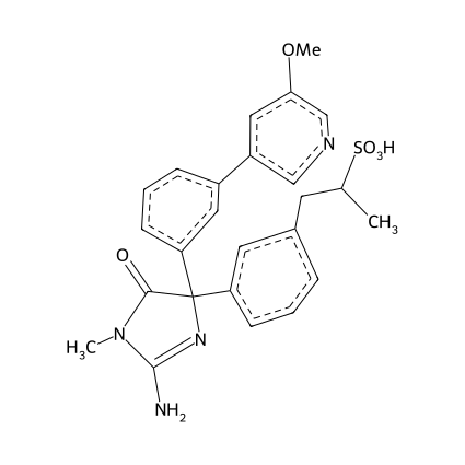 COc1cncc(-c2cccc(C3(c4cccc(CC(C)S(=O)(=O)O)c4)N=C(N)N(C)C3=O)c2)c1